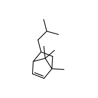 CC(C)CC1CC2(C)C=CC1C2(C)C